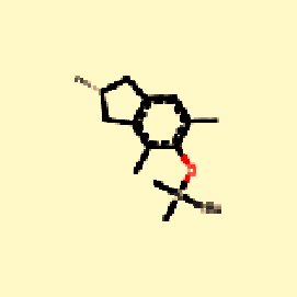 Cc1cc2c(c(C)c1O[Si](C)(C)C(C)(C)C)C[C@H](C)C2